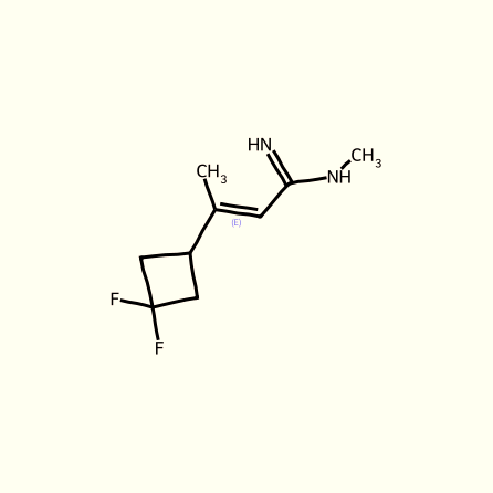 CNC(=N)/C=C(\C)C1CC(F)(F)C1